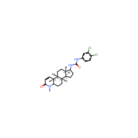 CN1C(=O)C=C[C@@]2(C)C1CC[C@@H]1[C@H]2CC[C@]2(C)C(NC(=O)Nc3ccc(Cl)c(Cl)c3)CC[C@@H]12